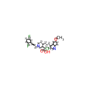 COc1ccc2ncc(Cl)c(CCCC3CCN(CC#Cc4cc(F)ccc4F)CC3CC(=O)O)c2c1